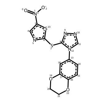 O=[N+]([O-])c1cnc(Sc2nncn2-c2ccc3c(c2)OCCO3)s1